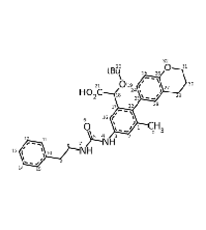 Cc1cc(NC(=O)NCCc2ccccc2)cc(C(OC(C)(C)C)C(=O)O)c1-c1ccc2c(c1)CCCO2